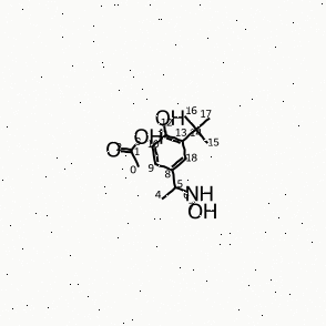 CC(=O)O.CC(NO)c1ccc(O)c(C(C)(C)C)c1